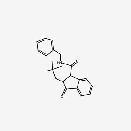 CC(C)(C)CN1C(=O)c2ccccc2C1C(=O)NCc1ccccc1